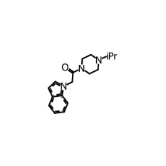 CC(C)N1CCN(C(=O)Cn2ccc3ccccc32)CC1